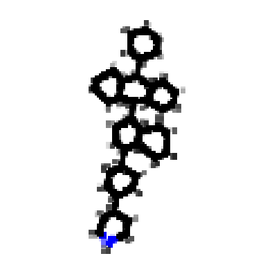 c1ccc(-c2c3ccccc3c(-c3ccc(-c4ccc(-c5ccncc5)cc4)c4ccccc34)c3ccccc23)cc1